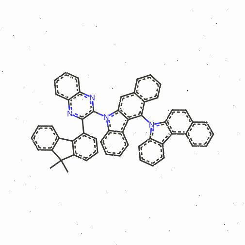 CC1(C)c2ccccc2-c2c(-c3nc4ccccc4nc3-n3c4ccccc4c4c(-n5c6ccccc6c6c7ccccc7ccc65)c5ccccc5cc43)cccc21